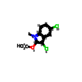 Cn1c(OC(=O)O)c(Cl)c2cc(Cl)ccc21